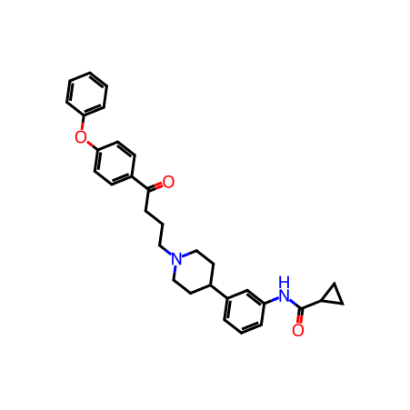 O=C(CCCN1CCC(c2cccc(NC(=O)C3CC3)c2)CC1)c1ccc(Oc2ccccc2)cc1